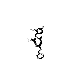 Cc1cc(Br)ccc1Cn1c(C)nc(OCC2COCCO2)cc1=O